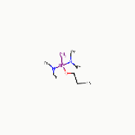 CC(C)N(C(C)C)[PH](P)(OCCC#N)N(C(C)C)C(C)C